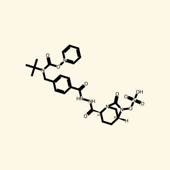 CC(C)(C)N(Cc1ccc(C(=O)NNC(=O)[C@@H]2CC[C@@H]3CN2C(=O)N3OS(=O)(=O)O)cc1)C(=O)O[n+]1ccccc1